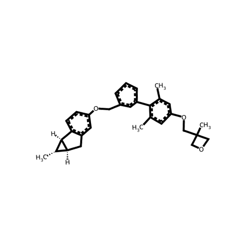 Cc1cc(OCC2(C)COC2)cc(C)c1-c1cccc(COc2ccc3c(c2)C[C@H]2[C@H](C)[C@@H]32)c1